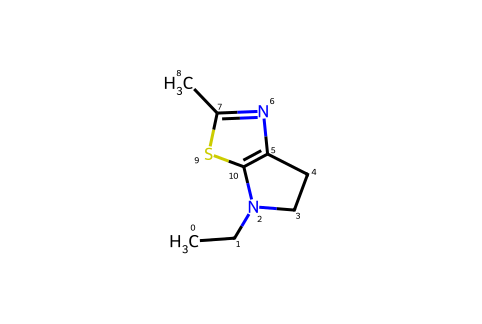 CCN1CCc2nc(C)sc21